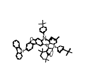 Cc1cc2c3c(c1)N(c1ccc(C(C)(C)C)cc1)c1oc4c(c1B3c1cc3c(cc1N2c1ccc(C(C)(C)C)cc1)oc1cc(-n2c5ccccc5c5ccccc52)ccc13)C(C)(C)CCC4(C)C